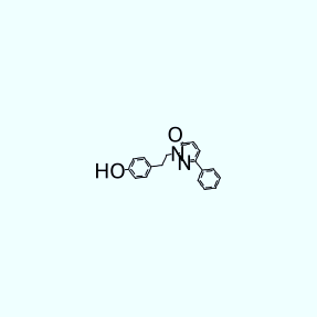 O=c1ccc(-c2ccccc2)nn1CCc1ccc(O)cc1